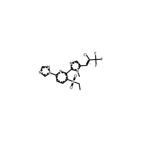 CCS(=O)(=O)c1ccc(-n2cncn2)nc1-c1ncc(/C=C(\Cl)C(F)(F)F)n1C